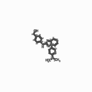 CN(C)c1ccc([N+]23C=CN=CC2=NC(Nc2ccc(CO)cc2)=N3)cn1